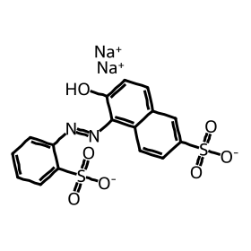 O=S(=O)([O-])c1ccc2c(N=Nc3ccccc3S(=O)(=O)[O-])c(O)ccc2c1.[Na+].[Na+]